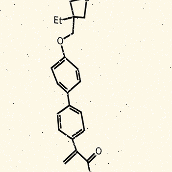 C=C(C([O])=O)c1ccc(-c2ccc(OCC3(CC)COC3)cc2)cc1